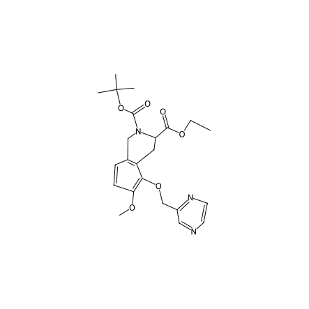 CCOC(=O)C1Cc2c(ccc(OC)c2OCc2cnccn2)CN1C(=O)OC(C)(C)C